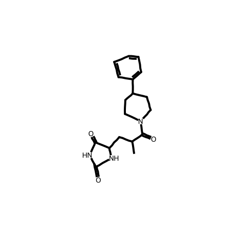 CC(CC1NC(=O)NC1=O)C(=O)N1CCC(c2ccccc2)CC1